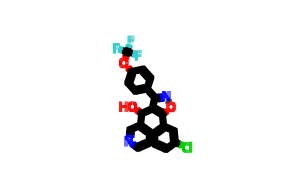 OC(c1cccnc1)c1c(-c2ccc(OC(F)(F)F)cc2)noc1-c1cccc(Cl)c1